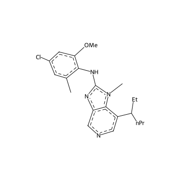 CCCC(CC)c1cncc2nc(Nc3c(C)cc(Cl)cc3OC)n(C)c12